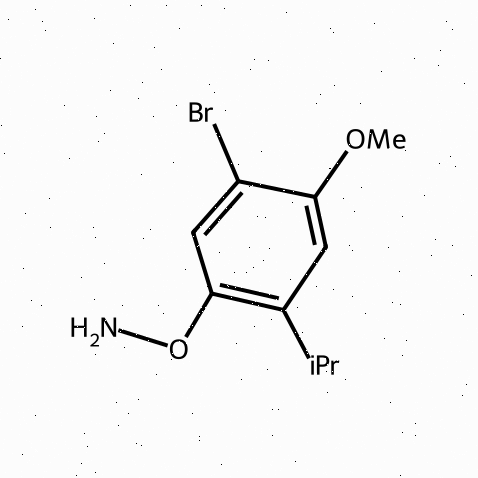 COc1cc(C(C)C)c(ON)cc1Br